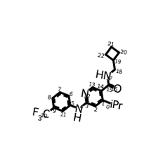 CC(C)c1cc(Nc2cccc(C(F)(F)F)c2)ncc1C(=O)NCC1CCC1